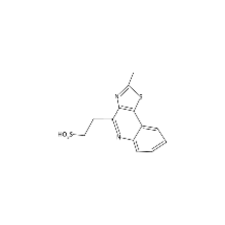 Cc1nc2c(CCS(=O)(=O)O)nc3ccccc3c2s1